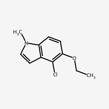 CCOc1ccc2c(ccn2C)c1Cl